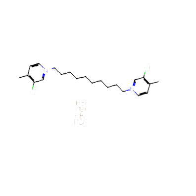 Br.Br.Br.Br.Cc1cc[n+](CCCCCCCCCC[n+]2ccc(C)c(Cl)c2)cc1Cl